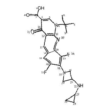 CC(C)(C)n1cc(C(=O)O)c(=O)c2cc3cc(F)c(N4CC(NC5CC5)C4)c(F)c3nc21